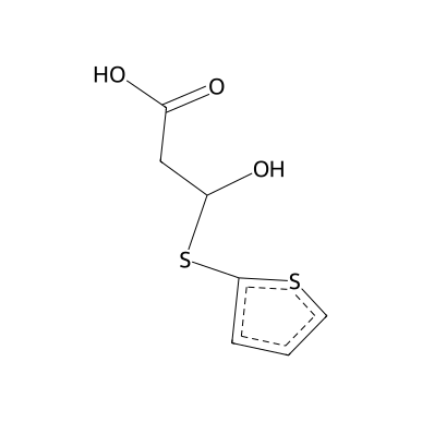 O=C(O)CC(O)Sc1cccs1